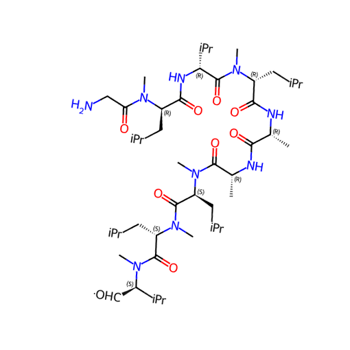 CC(C)C[C@H](C(=O)N[C@@H](C(=O)N(C)[C@H](CC(C)C)C(=O)N[C@H](C)C(=O)N[C@H](C)C(=O)N(C)[C@@H](CC(C)C)C(=O)N(C)[C@@H](CC(C)C)C(=O)N(C)[C@H]([C]=O)C(C)C)C(C)C)N(C)C(=O)CN